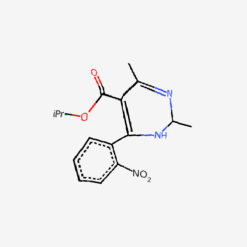 CC1=NC(C)NC(c2ccccc2[N+](=O)[O-])=C1C(=O)OC(C)C